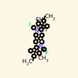 C=Cc1ccc(C2(c3cc(C)ccc3C)c3ccccc3-c3ccc(N(C4=CC5C(C=C4)c4ccccc4C54c5ccccc5-c5ccc(N(c6ccc(F)cc6)c6ccc7c(c6)C(c6ccc(C=C)cc6)(c6cc(C)ccc6C)c6ccccc6-7)cc54)c4ccc(F)cc4)cc32)cc1